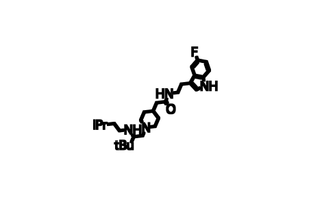 CC(C)CCNC(CN1CCC(CC(=O)NCCc2c[nH]c3ccc(F)cc23)CC1)C(C)(C)C